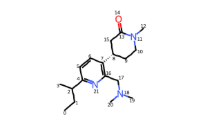 CCC(C)c1ccc([C@H]2CCN(C)C(=O)C2)c(CN(C)C)n1